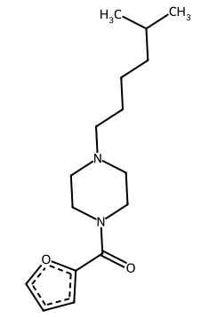 CC(C)CCCCN1CCN(C(=O)c2ccco2)CC1